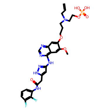 C=CCN(CCCOc1cc2ncnc(Nc3cc(CC(=O)Nc4cccc(F)c4F)[nH]n3)c2cc1OC)CCOP(=O)(O)O